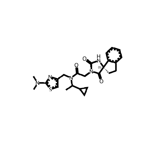 CC(C1CC1)N(Cc1csc(N(C)C)n1)C(=O)CN1C(=O)N[C@]2(CCc3ccccc32)C1=O